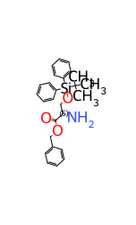 CC(C)(C)[Si](OC[C@H](N)C(=O)OCc1ccccc1)(c1ccccc1)c1ccccc1